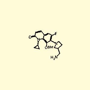 COc1c(N2CCC(CN)C2)c(F)cc2ccc(=O)n(C3CC3)c12